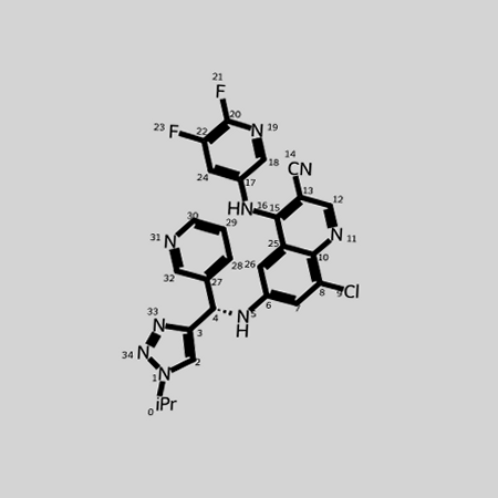 CC(C)n1cc([C@@H](Nc2cc(Cl)c3ncc(C#N)c(Nc4cnc(F)c(F)c4)c3c2)c2cccnc2)nn1